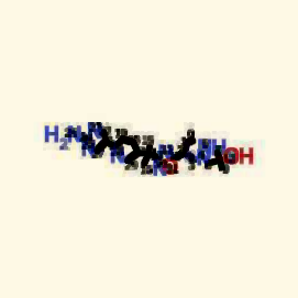 C=C/C(=C\N(N)CC(C)(C)O)c1nc(C(C)(C)c2ccc(-c3cnc(N)nc3)nc2)no1